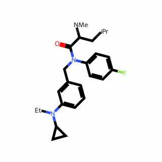 CCN(c1cccc(CN(C(=O)C(CC(C)C)NC)c2ccc(F)cc2)c1)C1CC1